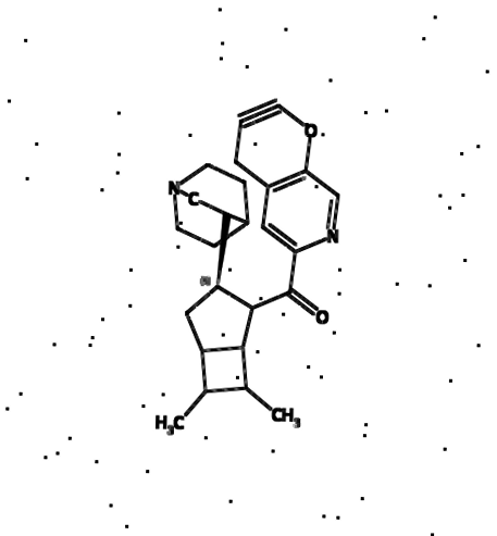 CC1C(C)C2C1C[C@@H](C1CN3CCC1CC3)C2C(=O)c1cc2c(cn1)OC#CC2